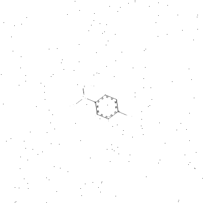 CCCCCCN(CCC)c1ccc(O)cc1